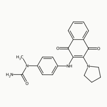 CN(C(N)=O)c1ccc(NC2=C(N3CCCC3)C(=O)c3ccccc3C2=O)cc1